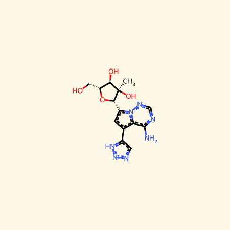 C[C@@]1(O)[C@H](O)[C@@H](CO)O[C@H]1c1cc(-c2cnn[nH]2)c2c(N)ncnn12